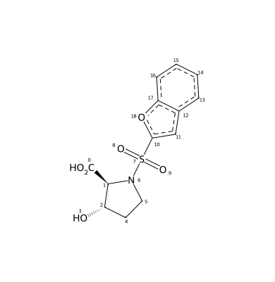 O=C(O)[C@@H]1[C@@H](O)CCN1S(=O)(=O)c1cc2ccccc2o1